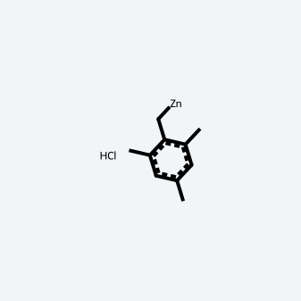 Cc1cc(C)c([CH2][Zn])c(C)c1.Cl